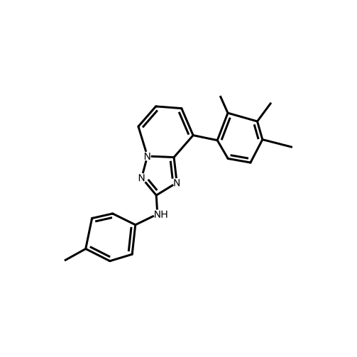 Cc1ccc(Nc2nc3c(-c4ccc(C)c(C)c4C)cccn3n2)cc1